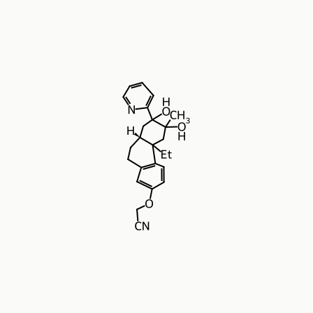 CCC12CC(C)(O)C(O)(c3ccccn3)C[C@H]1CCc1cc(OCC#N)ccc12